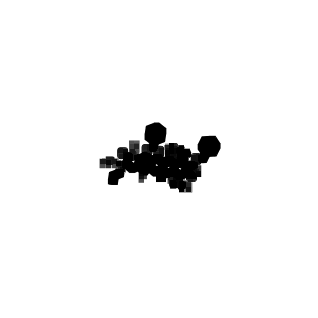 C=CCN(CCC)C1Cc2c(F)c3c(c(OCc4ccccc4)c2NC1=O)C(=O)C1=C(O)[C@]2(O[Si](C)(C)C(C)(C)C)C(=O)c4c(OCc5ccccc5)noc4[C@@H](N(C)CC)[C@@H]2C[C@@H]1C3